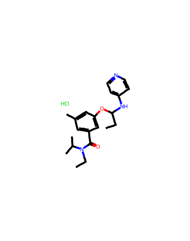 CCC(Nc1ccncc1)Oc1cc(C)cc(C(=O)N(CC)C(C)C)c1.Cl